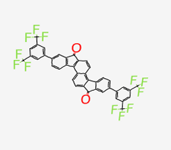 O=c1c2cc(-c3cc(C(F)(F)F)cc(C(F)(F)F)c3)ccc2c2c1ccc1c2ccc2c(=O)c3cc(-c4cc(C(F)(F)F)cc(C(F)(F)F)c4)ccc3c21